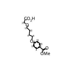 COC(=O)c1ccc(OCCCCOCC(=O)O)cc1